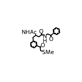 CSCC(=O)c1cccc(CC(CC(=O)NCC(=O)c2ccccc2)NC(C)=O)c1